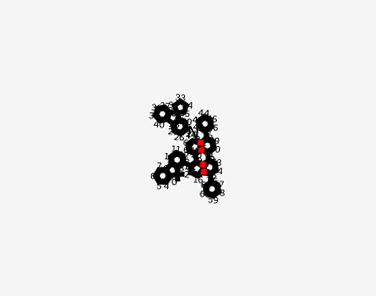 CC1(C)c2ccccc2-c2cccc(-c3ccccc3-c3ccc(N(c4ccc5c(c4)C4(CCCC4)c4ccccc4-5)c4ccccc4-c4ccc(-c5ccc(-c6ccccc6)cc5)cc4)cc3)c21